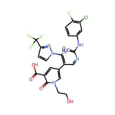 C=C(/N=C\C(=C(/N)n1ccc(C(F)(F)F)n1)c1cc(C(=O)O)c(=O)n(CCO)c1)Nc1ccc(F)c(Cl)c1